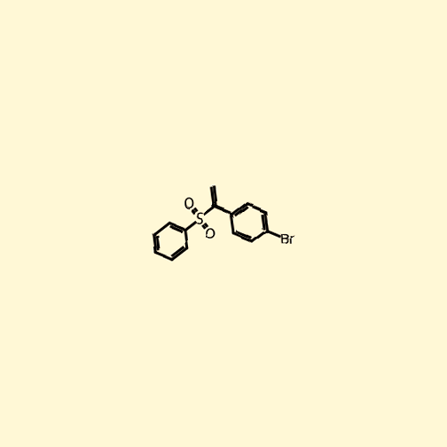 C=C(c1ccc(Br)cc1)S(=O)(=O)c1ccccc1